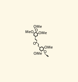 C#CCOc1c(OC)cc(/C=C/C(=O)/C=C/c2cc(OC)c(OCOC)c(OC)c2)cc1OC